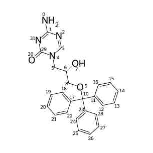 Nc1ncn(C[C@H](O)COC(c2ccccc2)(c2ccccc2)c2ccccc2)c(=O)n1